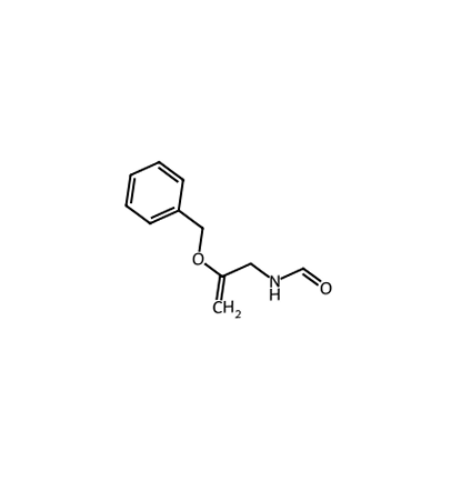 C=C(CNC=O)OCc1ccccc1